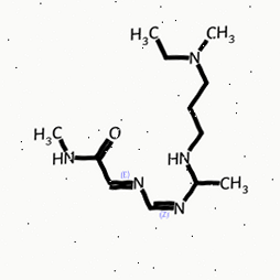 CCN(C)CCCNC(C)/N=C\N=C\C(=O)NC